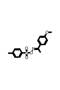 COc1ccc(/C(C)=N/OS(=O)(=O)c2ccc(C)cc2)cc1